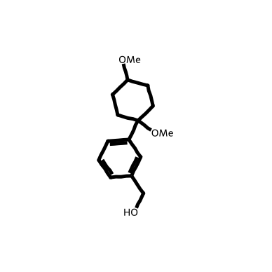 COC1CCC(OC)(c2cccc(CO)c2)CC1